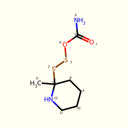 CC1(SSOC(N)=O)CCCCN1